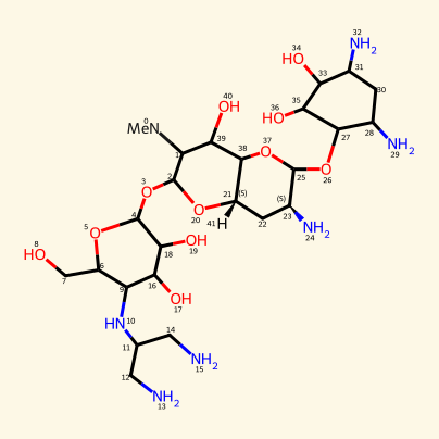 CNC1C(OC2OC(CO)C(NC(CN)CN)C(O)C2O)O[C@H]2C[C@H](N)C(OC3C(N)CC(N)C(O)C3O)OC2C1O